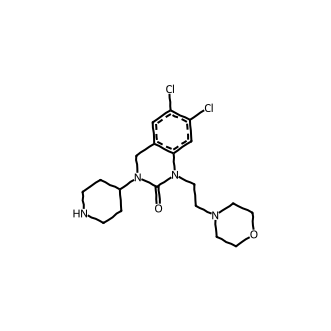 O=C1N(CCN2CCOCC2)c2cc(Cl)c(Cl)cc2CN1C1CCNCC1